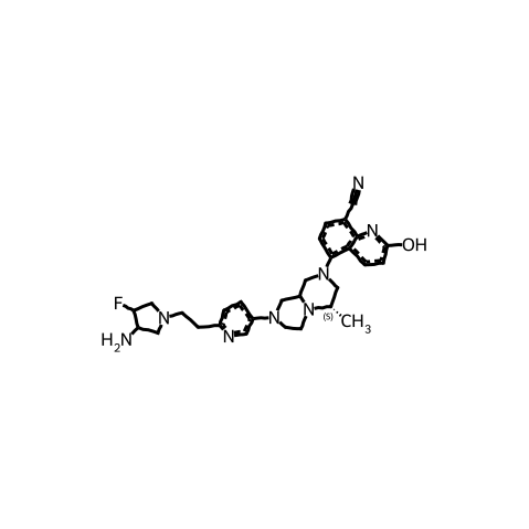 C[C@H]1CN(c2ccc(C#N)c3nc(O)ccc23)CC2CN(c3ccc(CCN4CC(N)C(F)C4)nc3)CCN21